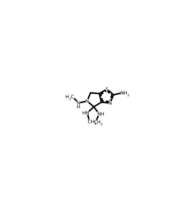 CNN1Cc2sc(N)nc2C1(NC)NC